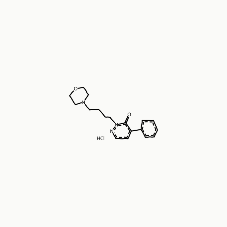 Cl.O=c1c(-c2ccccc2)ccnn1CCCCN1CCOCC1